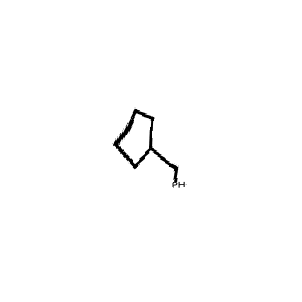 [PH]CC1CCCC1